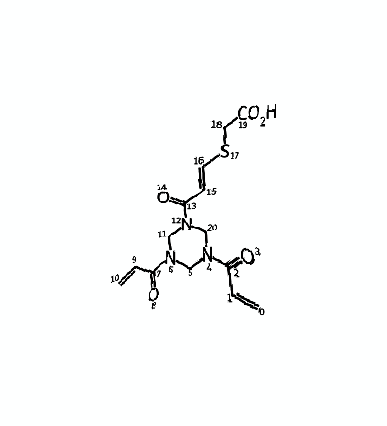 C=CC(=O)N1CN(C(=O)C=C)CN(C(=O)/C=C/SCC(=O)O)C1